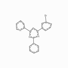 Brc1cccc(-c2cc(-c3ccccn3)nc(-c3ccccc3)n2)c1